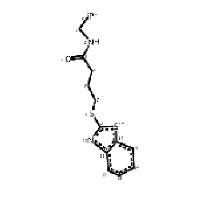 CC(C)CNC(=O)CCCSc1nc2ccccc2s1